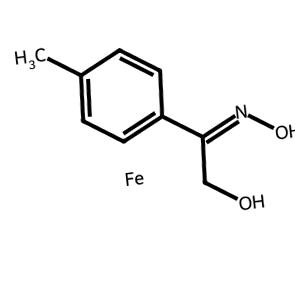 Cc1ccc(C(CO)=NO)cc1.[Fe]